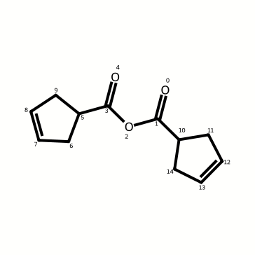 O=C(OC(=O)C1CC=CC1)C1CC=CC1